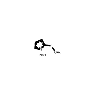 CC(=O)OSc1cccs1.[NaH]